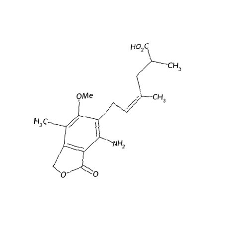 COc1c(C)c2c(c(N)c1CC=C(C)CC(C)C(=O)O)C(=O)OC2